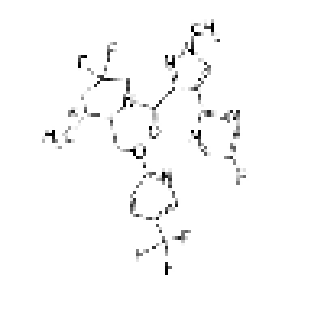 C[C@@H]1CC(F)(F)CN(C(=O)c2nn(C)cc2-c2ncc(F)cn2)C1COc1ccc(C(F)(F)F)cn1